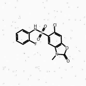 Cn1c(=O)oc2cc(Cl)c(S(=O)(=O)Nc3ccccc3F)cc21